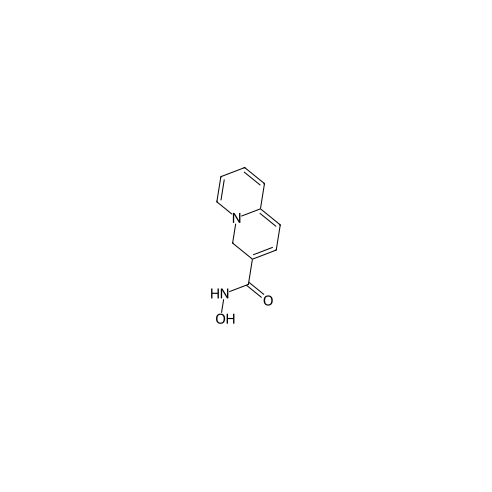 O=C(NO)C1=CC=C2C=CC=CN2C1